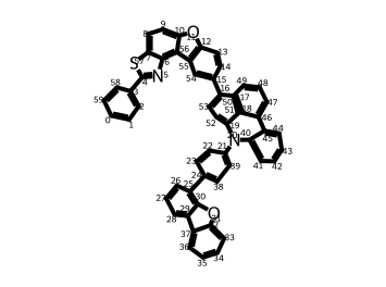 c1ccc(-c2nc3c(ccc4oc5ccc(-c6ccc(N(c7ccc(-c8cccc9c8oc8ccccc89)cc7)c7ccccc7-c7ccccc7)cc6)cc5c43)s2)cc1